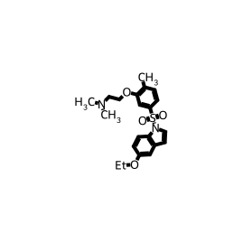 CCOc1ccc2c(ccn2S(=O)(=O)c2ccc(C)c(OCCN(C)C)c2)c1